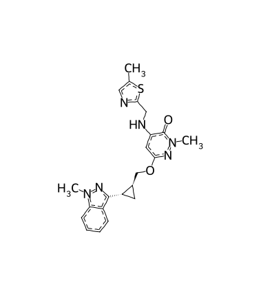 Cc1cnc(CNc2cc(OC[C@H]3C[C@@H]3c3nn(C)c4ccccc34)nn(C)c2=O)s1